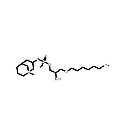 CCCCCCCCCCCCCCCCOCC(COP(=O)([O-])OC1CC2CCC[N+](C)(C2)C1)OC(C)=O